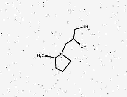 C[C@@H]1CCCN1C[C@H](O)CN